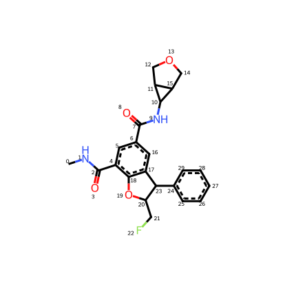 CNC(=O)c1cc(C(=O)NC2C3COCC32)cc2c1OC(CF)C2c1ccccc1